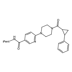 CCCC(C)NC(=O)c1ccc(N2CCN(C(=O)C3CC3c3ccccc3)CC2)nc1